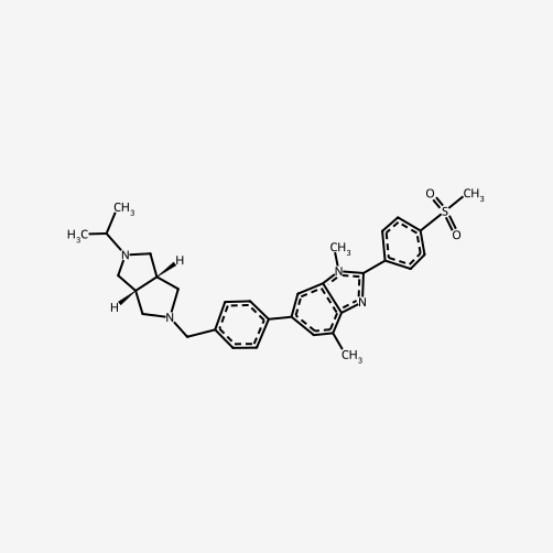 Cc1cc(-c2ccc(CN3C[C@@H]4CN(C(C)C)C[C@@H]4C3)cc2)cc2c1nc(-c1ccc(S(C)(=O)=O)cc1)n2C